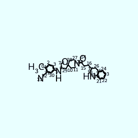 Cc1ccc(N[C@H]2COC3(CCN(C(=O)CCC4CNc5ccccc5C4)CC3)C2)cc1C#N